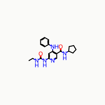 CCNC(=O)Nc1cc(Nc2ccccc2)c(C(=O)NC2CCCC2)cn1